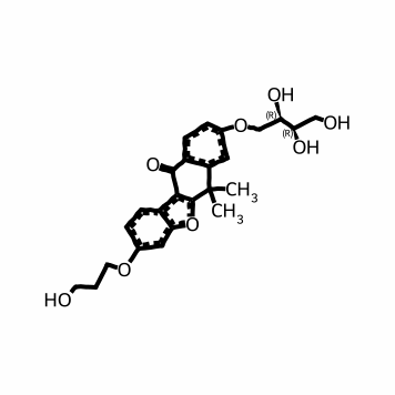 CC1(C)c2cc(OC[C@@H](O)[C@H](O)CO)ccc2C(=O)c2c1oc1cc(OCCCO)ccc21